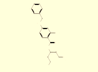 CCCC(CCC)OC(=O)c1ccc(OCc2ccccc2)cc1F